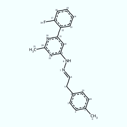 Cc1ccc(CC=NNc2cc(-c3ccccc3F)nc(C)n2)cc1